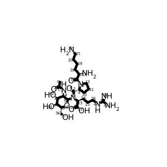 CC(=O)N[C@H]1C(N(C(=O)[C@H]2CCCN2C(=O)[C@@H](N)CCCCN)[C@@H](CCCNC(=N)N)C(=O)O)O[C@H](CO)[C@@H](O)[C@@H]1O